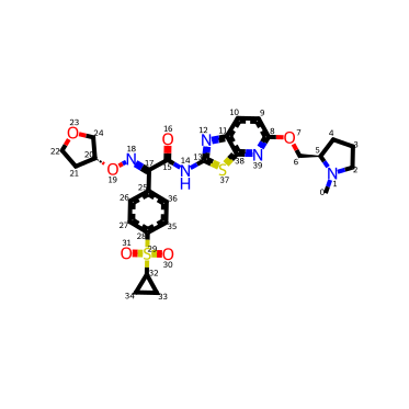 CN1CCC[C@@H]1COc1ccc2nc(NC(=O)/C(=N/O[C@@H]3CCOC3)c3ccc(S(=O)(=O)C4CC4)cc3)sc2n1